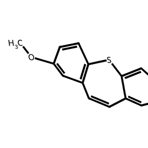 COc1ccc2c(c1)C=Cc1ccccc1S2